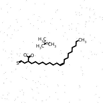 CCCCCCCC/C=C\CCCCCCCCC(CC=S)C(=O)[O-].[CH3][Sn+]([CH3])[CH3]